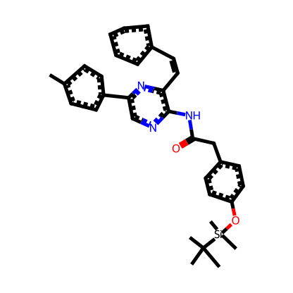 Cc1ccc(-c2cnc(NC(=O)Cc3ccc(O[Si](C)(C)C(C)(C)C)cc3)c(/C=C\c3ccccc3)n2)cc1